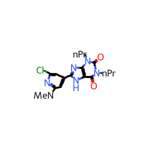 CCCn1c(=O)c2[nH]c(-c3cc(Cl)nc(NC)c3)nc2n(CCC)c1=O